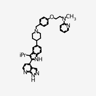 CC(C)c1c(-c2ccnc3[nH]ncc23)[nH]c2ccc(C3CCN(Cc4ccc(OCCN(C)c5ccccn5)cc4)CC3)cc12